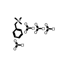 C[N+](C)(C)Cc1ccccc1.O=I(=O)Cl.O=I(=O)Cl.O=I(=O)Cl.O=I(=O)Cl